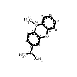 CN(C)c1ccc2c(c1)Sc1ccccc1N2C